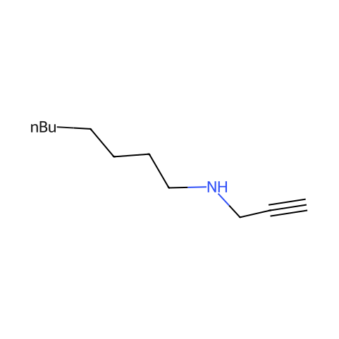 C#CCNCCCCCCCC